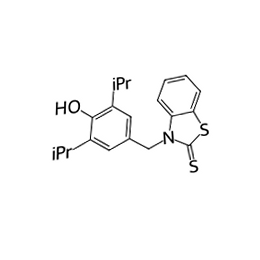 CC(C)c1cc(Cn2c(=S)sc3ccccc32)cc(C(C)C)c1O